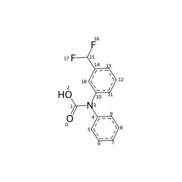 O=C(O)N(c1ccccc1)c1cccc(C(F)F)c1